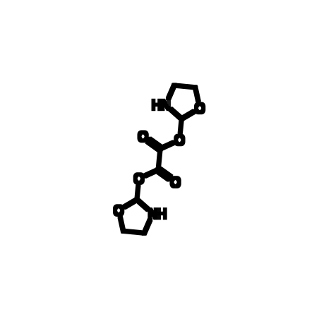 O=C(OC1NCCO1)C(=O)OC1NCCO1